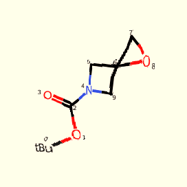 CC(C)(C)OC(=O)N1CC2(CO2)C1